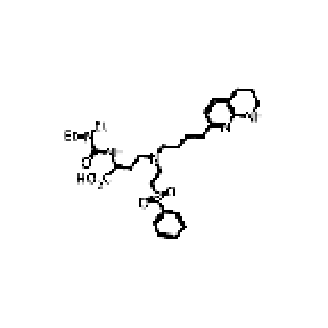 CCN(CC)C(=O)NC(CCN(CCCCc1ccc2c(n1)NCCC2)CCS(=O)(=O)c1ccccc1)C(=O)O